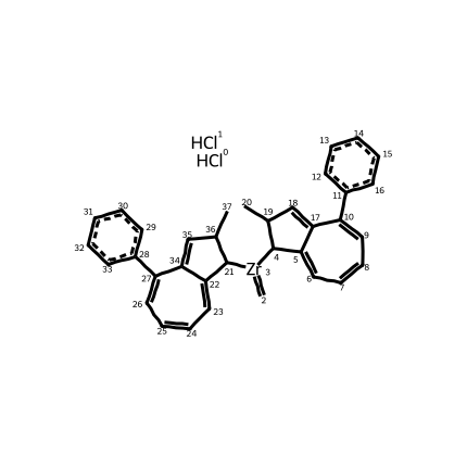 Cl.Cl.[CH2]=[Zr]([CH]1C2=CC=CC=C(c3ccccc3)C2=CC1C)[CH]1C2=CC=CC=C(c3ccccc3)C2=CC1C